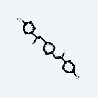 F/C(=C\c1ccc(/C=C(\F)c2ccc(C(F)(F)F)cc2)cc1)c1ccc(C(F)(F)F)cc1